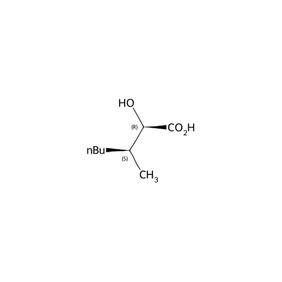 CCCC[C@H](C)[C@@H](O)C(=O)O